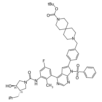 Cc1c(NC(=O)N2C[C@H](CC(C)C)[C@@H](O)C2)cc(F)cc1-c1ncnc2c1cc(-c1ccc(CN3CCC4(CC3)CCN(C(=O)OC(C)(C)C)CC4)cc1)n2S(=O)(=O)c1ccccc1